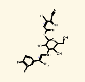 N#CC(=N)/C(Cl)=C\C(=N)SC1OC(CO)C(O)C(N/C=C(\N)c2ccc(F)c(F)c2)C1O